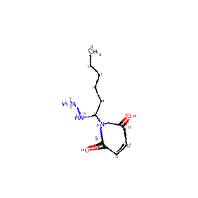 CCCCCC(NN)N1C(=O)C=CC1=O